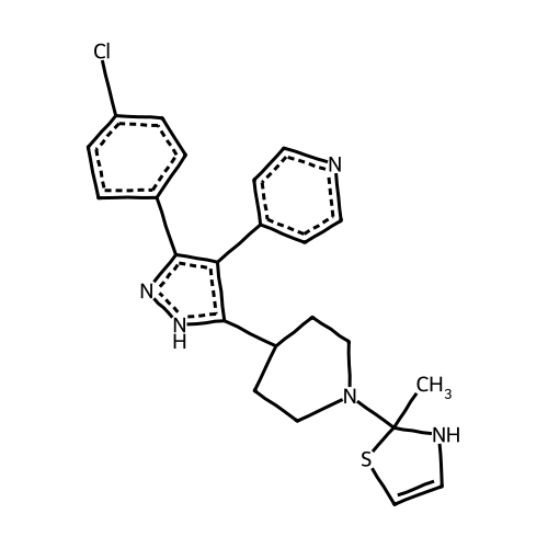 CC1(N2CCC(c3[nH]nc(-c4ccc(Cl)cc4)c3-c3ccncc3)CC2)NC=CS1